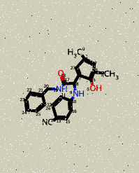 Cc1cc(C)c(O)c(C(Nc2ccc(C#N)cc2)C(=O)NCc2ccccc2)c1